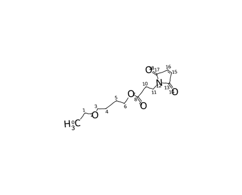 CCOCCCCOC(=O)CCN1C(=O)C=CC1=O